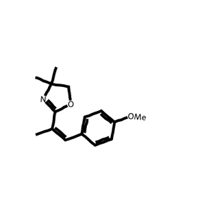 COc1ccc(C=C(C)C2=NC(C)(C)CO2)cc1